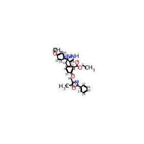 CCOC(=O)CCC1=CNNC1(Cc1ccc(OCc2nc(-c3ccccc3)oc2C)cc1)c1ccc(OC)cc1